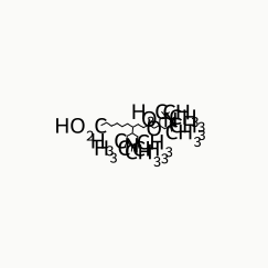 CN1C(C)(C)CC(OC(=O)CCC(CCCCCC(=O)O)C2CC(C)(C)N(C)C(C)(C)C2)CC1(C)C